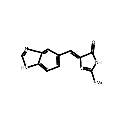 CSC1=N/C(=C\c2ccc3[nH]cnc3c2)C(=O)N1